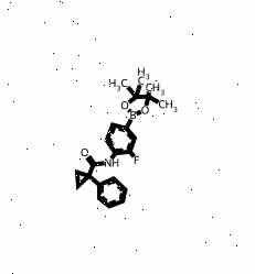 CC1(C)OB(c2ccc(NC(=O)C3(c4ccccc4)CC3)c(F)c2)OC1(C)C